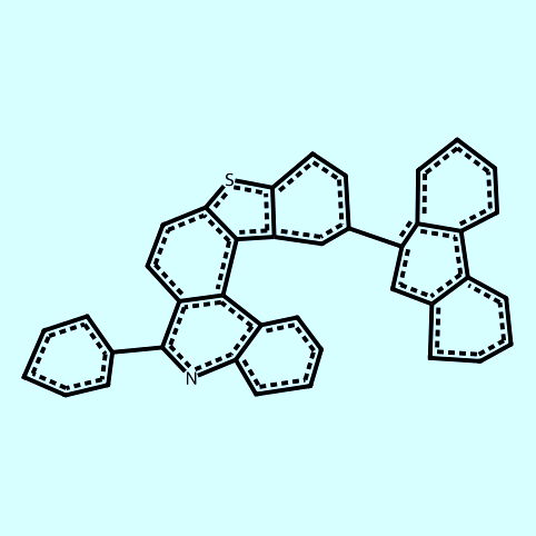 c1ccc(-c2nc3ccccc3c3c2ccc2sc4ccc(-c5cc6ccccc6c6ccccc56)cc4c23)cc1